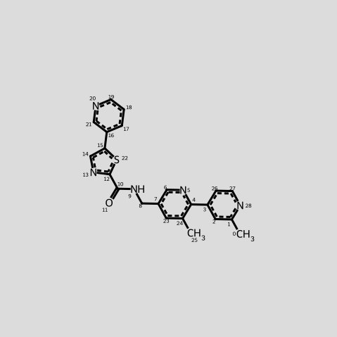 Cc1cc(-c2ncc(CNC(=O)c3ncc(-c4cccnc4)s3)cc2C)ccn1